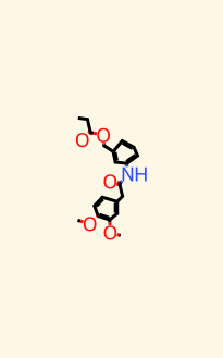 CCC(=O)OCc1cccc(NC(=O)Cc2ccc(OC)c(OC)c2)c1